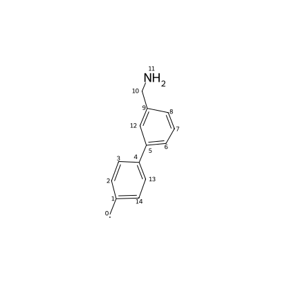 [CH2]c1ccc(-c2cccc(CN)c2)cc1